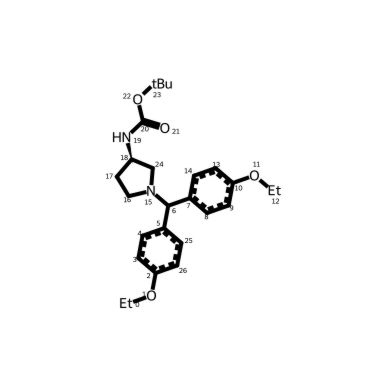 CCOc1ccc(C(c2ccc(OCC)cc2)N2CC[C@@H](NC(=O)OC(C)(C)C)C2)cc1